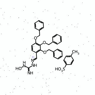 Cc1ccc(S(=O)(=O)O)cc1.N=C(NO)N/N=C/c1ccc(OCc2ccccc2)c(OCc2ccccc2)c1OCc1ccccc1